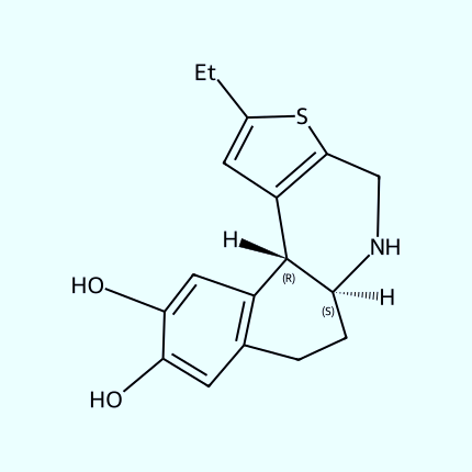 CCc1cc2c(s1)CN[C@H]1CCc3cc(O)c(O)cc3[C@H]21